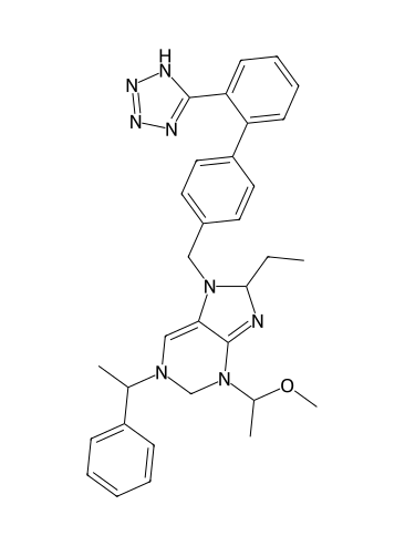 CCC1N=C2C(=CN(C(C)c3ccccc3)CN2C(C)OC)N1Cc1ccc(-c2ccccc2-c2nnn[nH]2)cc1